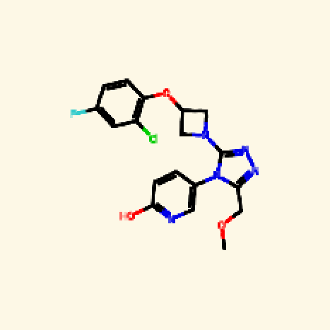 COCc1nnc(N2CC(Oc3ccc(F)cc3Cl)C2)n1-c1ccc(O)nc1